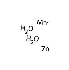 O.O.[Mn].[Zn]